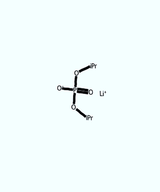 CC(C)OP(=O)([O-])OC(C)C.[Li+]